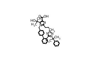 CCCc1nc(C(=O)O)c(C(C)(C)O)n1Cc1ccc(-c2ccccc2-c2nnnn2C(C)(C)c2ccccc2)cc1